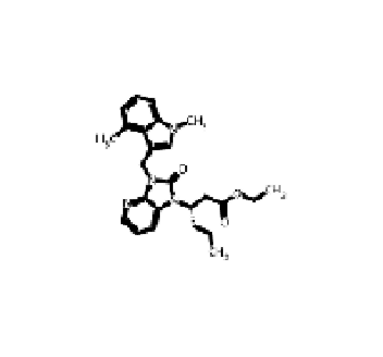 CCC[C@@H](CC(=O)OCC)n1c(=O)n(Cc2cn(C)c3cccc(C)c23)c2ncccc21